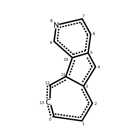 c1ccc2cc3ccncc3c-2cc1